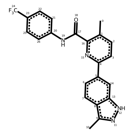 Cc1ccc(-c2ccc3c(C)n[nH]c3c2)nc1C(=O)Nc1ccc(C(F)(F)F)cc1